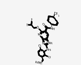 CC(=O)NCc1ccc(Cl)c(Nc2nc3nc(OCC(F)F)c(C(=O)N[C@H]4CC[C@H](C(F)(F)F)CC4)cc3[nH]2)c1Cl